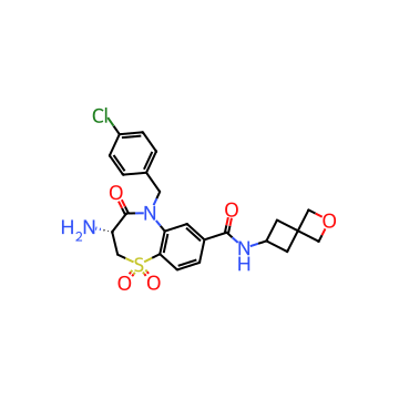 N[C@H]1CS(=O)(=O)c2ccc(C(=O)NC3CC4(COC4)C3)cc2N(Cc2ccc(Cl)cc2)C1=O